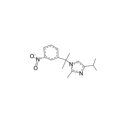 Cc1nc(C(C)C)cn1C(C)(C)c1cccc([N+](=O)[O-])c1